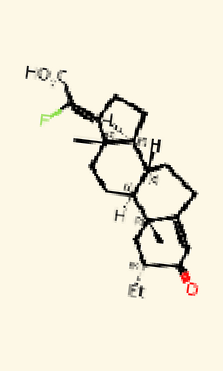 CC[C@@H]1C[C@@]2(C)C(=CC1=O)CC[C@@H]1[C@@H]2CC[C@]2(C)C(=C(F)C(=O)O)CC[C@@H]12